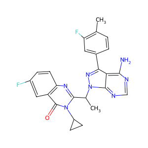 Cc1ccc(-c2nn(C(C)c3nc4ccc(F)cc4c(=O)n3C3CC3)c3ncnc(N)c23)cc1F